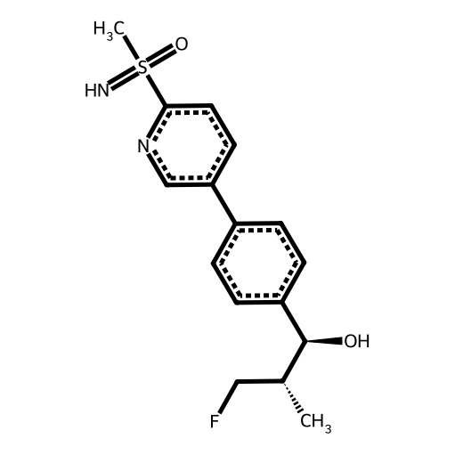 C[C@H](CF)[C@H](O)c1ccc(-c2ccc(S(C)(=N)=O)nc2)cc1